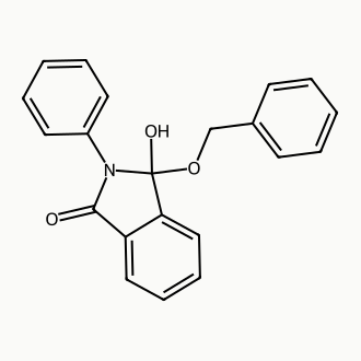 O=C1c2ccccc2C(O)(OCc2ccccc2)N1c1ccccc1